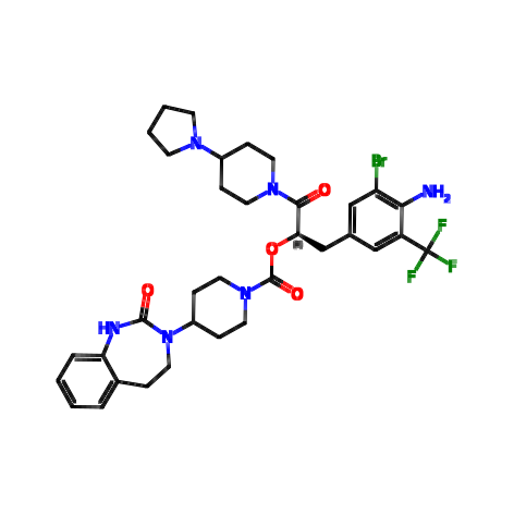 Nc1c(Br)cc(C[C@@H](OC(=O)N2CCC(N3CCc4ccccc4NC3=O)CC2)C(=O)N2CCC(N3CCCC3)CC2)cc1C(F)(F)F